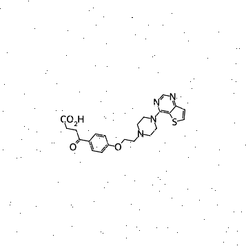 O=C(O)CCC(=O)c1ccc(OCCN2CCN(c3ncnc4ccsc34)CC2)cc1